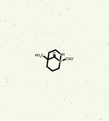 O=C(O)C12CCC[N+](C(=O)[O-])(NCC1)C2=O